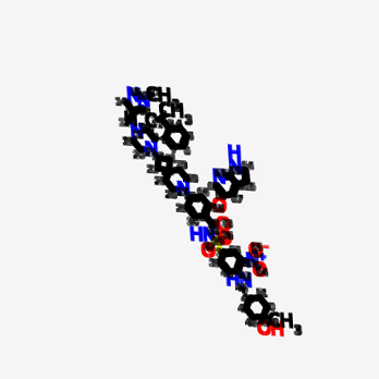 CC(C)c1ccccc1[C@H]1CN(Cc2cnn(C)c2)CCN1C1CC2(CCN(c3ccc(C(=O)NS(=O)(=O)c4ccc(NC[C@H]5CC[C@](C)(O)CC5)c([N+](=O)[O-])c4)c(Oc4cnc5[nH]ccc5c4)c3)CC2)C1